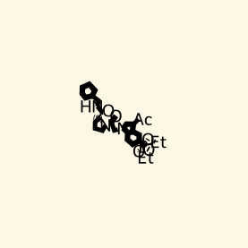 CCOP(=O)(OCC)c1ccc2c(c1)c(C(C)=O)cn2CC(=O)N1CCC[C@H]1C(=O)NCc1ccccc1